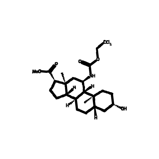 COC(=O)[C@H]1CC[C@H]2[C@@H]3CC[C@H]4C[C@@H](O)CC[C@]4(C)[C@H]3[C@H](NC(=O)OCC(Cl)(Cl)Cl)C[C@]12C